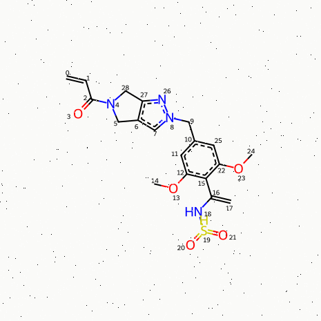 C=CC(=O)N1Cc2cn(Cc3cc(OC)c(C(=C)N[SH](=O)=O)c(OC)c3)nc2C1